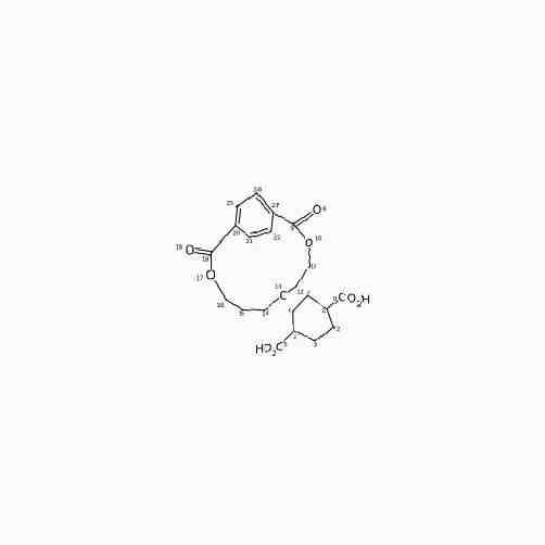 O=C(O)C1CCC(C(=O)O)CC1.O=C1OCCCCCCOC(=O)c2ccc1cc2